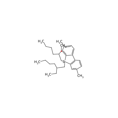 CCCCC(CC)C[Si]1(CC(CC)CCCC)c2cc(C)ccc2-c2ccc(C)cc21